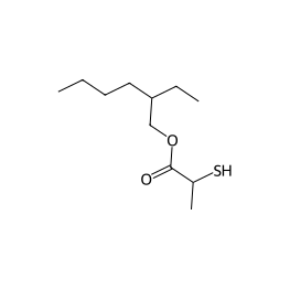 CCCCC(CC)COC(=O)C(C)S